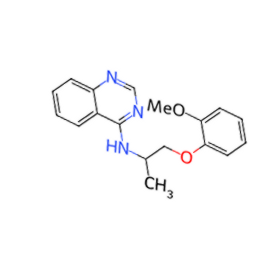 COc1ccccc1OCC(C)Nc1ncnc2ccccc12